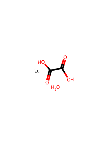 O.O=C(O)C(=O)O.[Lu]